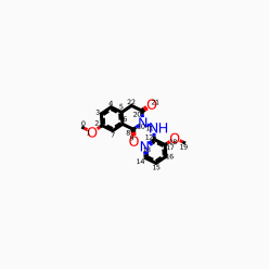 COc1ccc2c(c1)C(=O)N(Nc1ncccc1OC)C(=O)C2